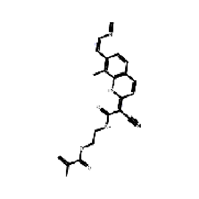 C=N/C=C\c1ccc2c(c1C)N/C(=C(/C#N)C(=O)NCCOC(=O)C(=C)C)C=C2